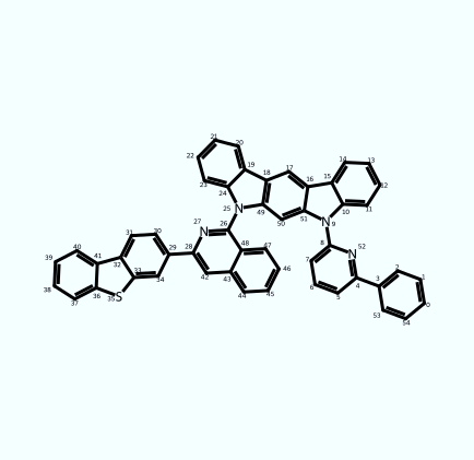 c1ccc(-c2cccc(-n3c4ccccc4c4cc5c6ccccc6n(-c6nc(-c7ccc8c(c7)sc7ccccc78)cc7ccccc67)c5cc43)n2)cc1